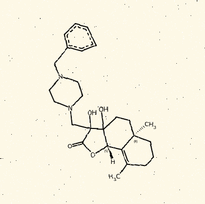 CC1=C2[C@@H]3OC(=O)C(O)(CN4CCN(Cc5ccccc5)CC4)C3(O)CC[C@@]2(C)CCC1